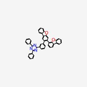 c1ccc(-c2nc(-c3ccccc3)nc(-c3cccc(-c4cc5c(cc4-c4cccc6c4oc4ccccc46)oc4ccccc45)c3)n2)cc1